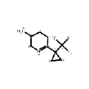 CC1CCC(C2(C(F)(F)F)CC2)=NC1